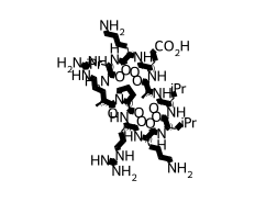 CC(C)C[C@H](NC(=O)[C@H](CC(C)C)NC(=O)[C@H](CCCCN)NC(=O)[C@H](CCCNC(=N)N)NC(=O)[C@@H]1CCCN1C(=O)[C@@H](C)CCCNC(=N)N)C(=O)N[C@@H](C)C(=O)N[C@@H](CCC(=O)O)C(=O)N[C@@H](CCCCN)C(=O)N[C@H](C(N)=O)C(C)C